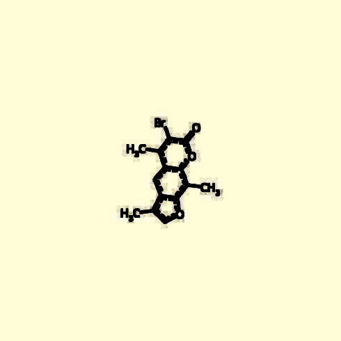 Cc1coc2c(C)c3oc(=O)c(Br)c(C)c3cc12